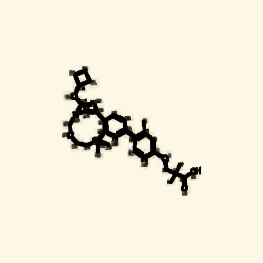 Cc1cc(OCC(C)(C)C(=O)O)ncc1-c1ccc2c(n1)[Si](C)(C)CCOCn1nc-2nc1OC1CCC1